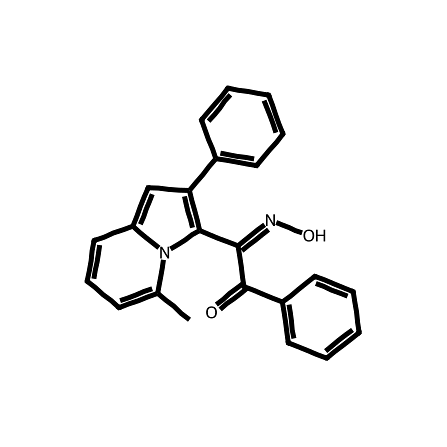 Cc1cccc2cc(-c3ccccc3)c(C(=NO)C(=O)c3ccccc3)n12